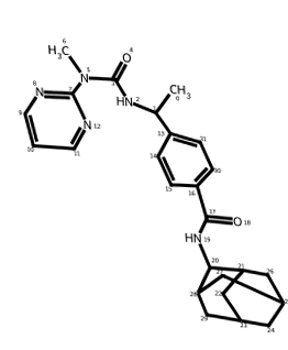 CC(NC(=O)N(C)c1ncccn1)c1ccc(C(=O)NC2C3CC4CC(C3)CC2C4)cc1